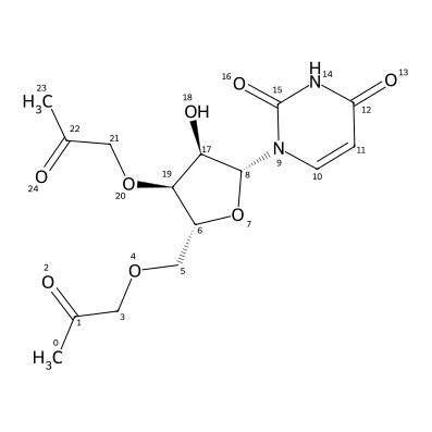 CC(=O)COC[C@H]1O[C@@H](n2ccc(=O)[nH]c2=O)[C@H](O)[C@@H]1OCC(C)=O